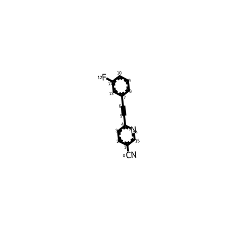 N#Cc1ccc(C#Cc2cccc(F)c2)nc1